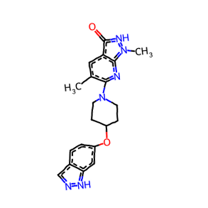 Cc1cc2c(=O)[nH]n(C)c2nc1N1CCC(Oc2ccc3cn[nH]c3c2)CC1